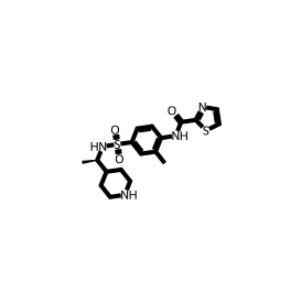 Cc1cc(S(=O)(=O)N[C@H](C)C2CCNCC2)ccc1NC(=O)c1nccs1